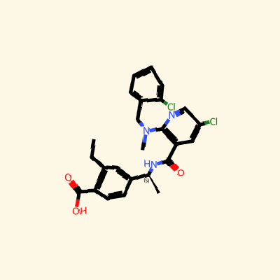 CCc1cc([C@H](C)NC(=O)c2cc(Cl)cnc2N(C)Cc2ccccc2Cl)ccc1C(=O)O